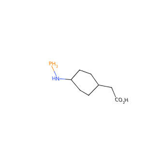 O=C(O)CC1CCC(NP)CC1